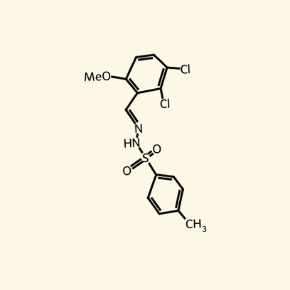 COc1ccc(Cl)c(Cl)c1/C=N/NS(=O)(=O)c1ccc(C)cc1